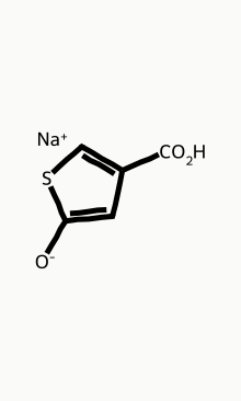 O=C(O)c1csc([O-])c1.[Na+]